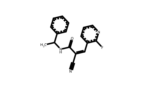 CC(NC(=O)C(C#N)=Cc1cccnc1F)c1ccccc1